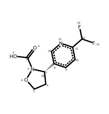 O=C(O)N1OCC[C@H]1c1ccc(C(F)F)nc1